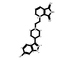 O=C1NC(=O)C2=C1C=CCN2CCN1CCC(c2noc3cc(F)ccc23)CC1